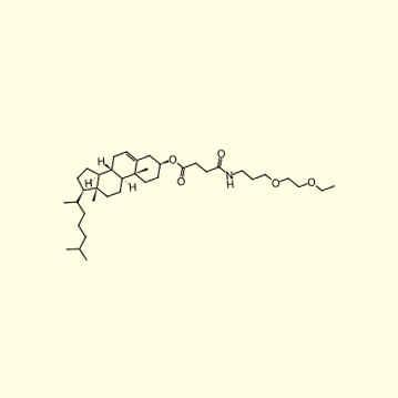 CCOCCOCCCNC(=O)CCC(=O)O[C@H]1CC[C@@]2(C)C(=CC[C@H]3[C@@H]4CC[C@H](C(C)CCCC(C)C)[C@@]4(C)CC[C@@H]32)C1